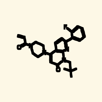 C=CC(=O)N1CCN(c2cc(=O)n(CC(C)(C)C)c3nc(-c4ccccc4F)ccc23)CC1